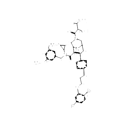 COc1cc(CN(C(=O)C2=C(c3ccc(CCCOc4cc(F)ccc4Br)cc3)CC3CN(C(=O)C(O)C(O)C(=O)O)CC2N3)C2CC2)cc(OC)c1